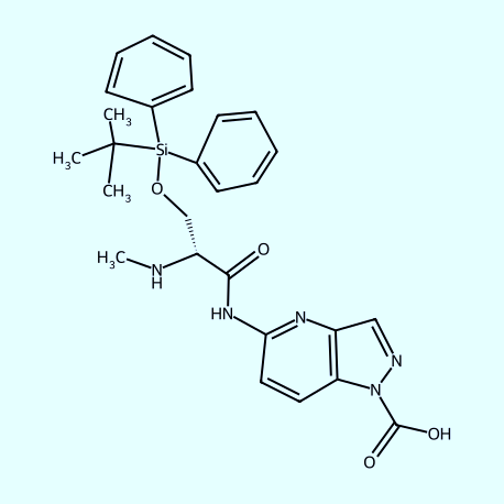 CN[C@H](CO[Si](c1ccccc1)(c1ccccc1)C(C)(C)C)C(=O)Nc1ccc2c(cnn2C(=O)O)n1